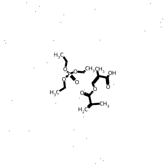 C=C(C)C(=O)OC=C(C)C(=O)O.CCOP(=O)(OCC)OCC